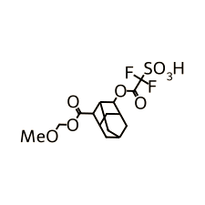 COCOC(=O)C1C2CC3CC(C2)C(OC(=O)C(F)(F)S(=O)(=O)O)C1C3